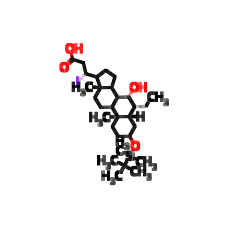 CC[C@H]1[C@@H](O)C2C3CCC([C@H](I)CC(=O)O)[C@@]3(C)CCC2[C@@]2(C)CCC(O[Si](C)(C)C(C)(C)C)C[C@@H]12